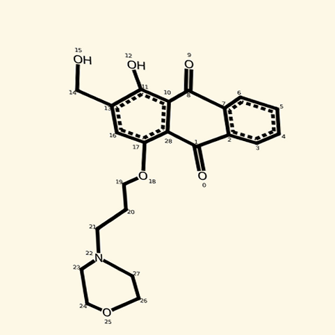 O=C1c2ccccc2C(=O)c2c(O)c(CO)cc(OCCCN3CCOCC3)c21